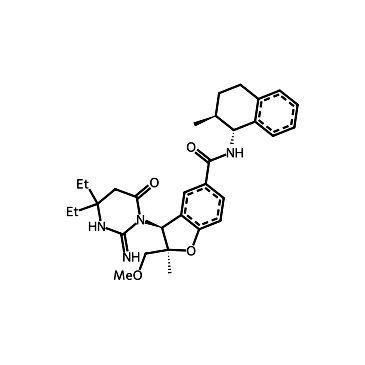 CCC1(CC)CC(=O)N([C@H]2c3cc(C(=O)N[C@H]4c5ccccc5CC[C@@H]4C)ccc3O[C@@]2(C)COC)C(=N)N1